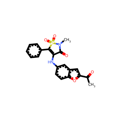 CC(=O)c1cc2cc(NC3=C(c4ccccc4)S(=O)(=O)N(C)C3=O)ccc2o1